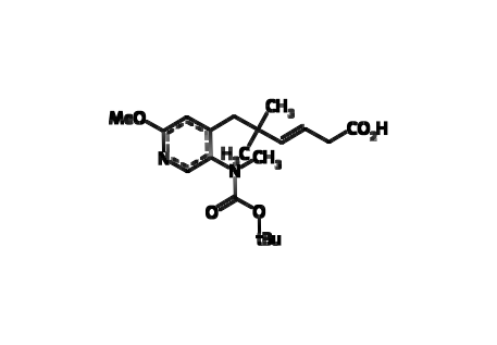 COc1cc(CC(C)(C)/C=C/CC(=O)O)c(N(C)C(=O)OC(C)(C)C)cn1